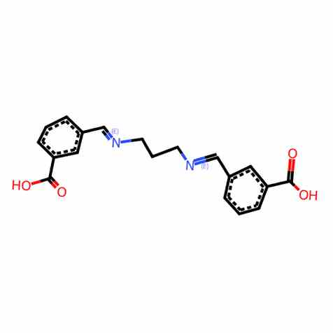 O=C(O)c1cccc(/C=N/CCC/N=C/c2cccc(C(=O)O)c2)c1